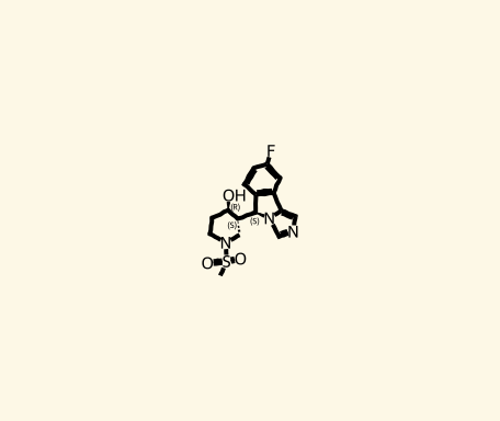 CS(=O)(=O)N1CC[C@@H](O)[C@H]([C@H]2c3ccc(F)cc3-c3cncn32)C1